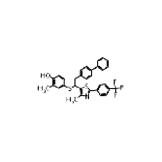 Cc1cc(SC(Cc2ccc(-c3ccccc3)cc2)c2sc(-c3ccc(C(F)(F)F)cc3)nc2C)ccc1O